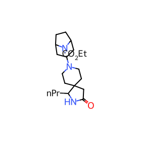 CCCC1NC(=O)CC12CCN(C1CC3CCC(C1)N3C(=O)OCC)CC2